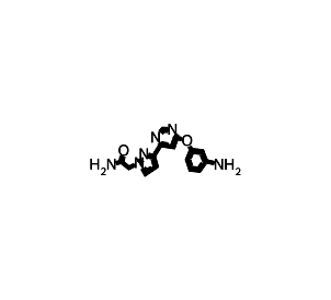 NC(=O)Cn1ccc(-c2cc(Oc3cccc(N)c3)ncn2)n1